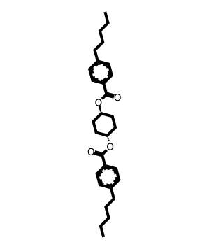 CCCCCc1ccc(C(=O)O[C@H]2CC[C@H](OC(=O)c3ccc(CCCCC)cc3)CC2)cc1